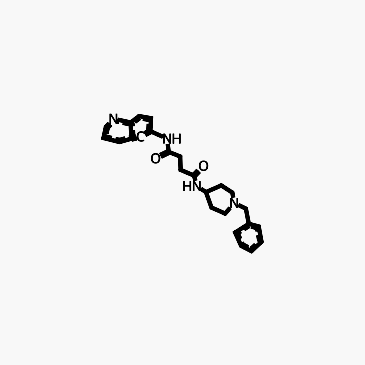 O=C(CCC(=O)NC1CCN(Cc2ccccc2)CC1)Nc1ccc2ncccc2c1